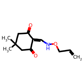 C=CCONC=C1C(=O)CC(C)(C)CC1=O